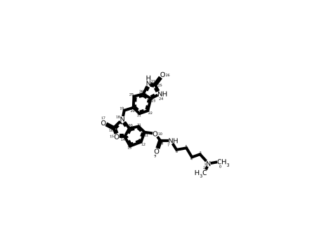 CN(C)CCCCNC(=O)Oc1ccc2oc(=O)n(Cc3ccc4[nH]c(=O)[nH]c4c3)c2c1